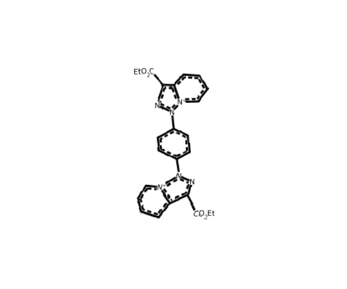 CCOC(=O)c1nn(-c2ccc(-n3nc(C(=O)OCC)c4cccc[n+]43)cc2)[n+]2ccccc12